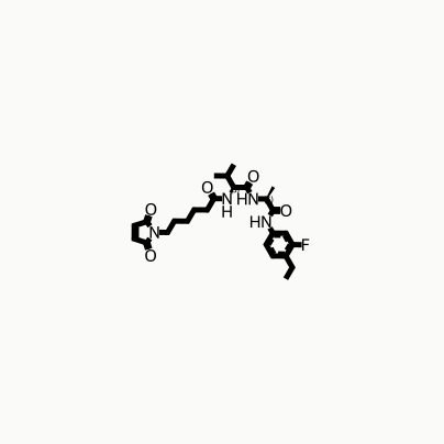 CCc1ccc(NC(=O)[C@H](C)NC(=O)[C@@H](NC(=O)CCCCCN2C(=O)C=CC2=O)C(C)C)cc1F